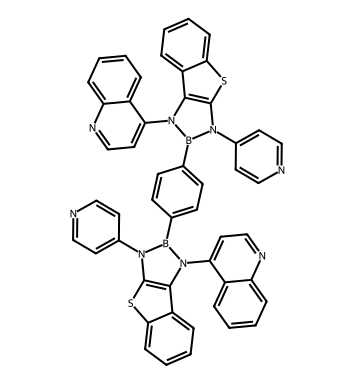 c1ccc2c(N3B(c4ccc(B5N(c6ccncc6)c6sc7ccccc7c6N5c5ccnc6ccccc56)cc4)N(c4ccncc4)c4sc5ccccc5c43)ccnc2c1